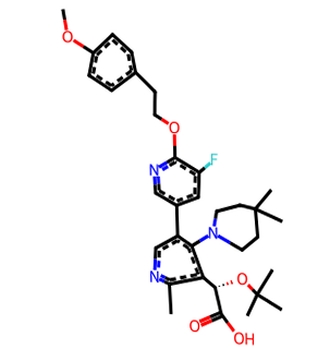 COc1ccc(CCOc2ncc(-c3cnc(C)c([C@H](OC(C)(C)C)C(=O)O)c3N3CCC(C)(C)CC3)cc2F)cc1